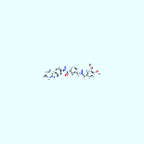 COc1ccc(C(=O)NCc2cccc(C(=O)Nc3ccc(C4CCCCN4)cc3)c2)cc1OC